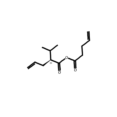 C=CCCC(=O)OC(=O)[C@@H](CC=C)C(C)C